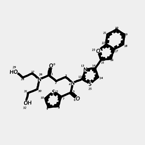 O=C(CCN(C(=O)c1cccs1)c1nc(-c2cc3ccccc3o2)cs1)N(CCO)CCO